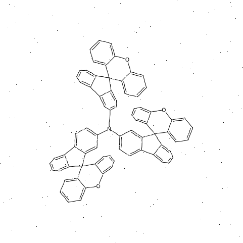 c1ccc2c(c1)Oc1ccccc1C21c2ccccc2-c2cc(N(c3ccc4c(c3)C3(c5ccccc5Oc5ccccc53)c3ccccc3-4)c3ccc4c(c3)C3(c5ccccc5Oc5ccccc53)c3ccccc3-4)ccc21